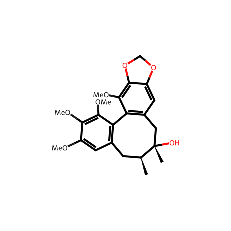 COc1cc2c(c(OC)c1OC)-c1c(cc3c(c1OC)OCO3)C[C@](C)(O)[C@@H](C)C2